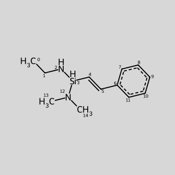 CCN[SiH](C=Cc1ccccc1)N(C)C